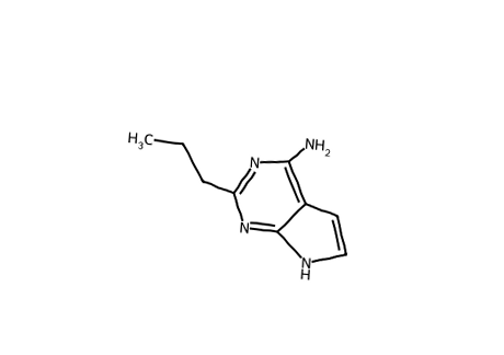 CCCc1nc(N)c2cc[nH]c2n1